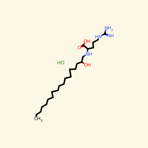 CCCCCCCCCCCCCCCCC(O)CNC(CCCNC(=N)N)C(=O)O.Cl